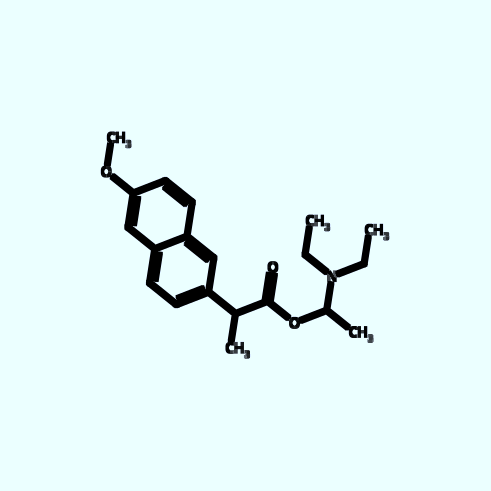 CCN(CC)C(C)OC(=O)C(C)c1ccc2cc(OC)ccc2c1